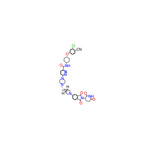 N#Cc1ccc(O[C@H]2CC[C@H](NC(=O)c3ccc(N4CCN(C[C@@H]5[C@H]6CN(c7ccc8c(c7)C(=O)N(C7CCC(=O)NC7=O)C8=O)C[C@@H]56)CC4)nn3)CC2)cc1Cl